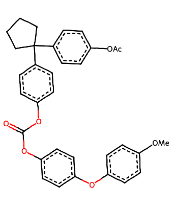 COc1ccc(Oc2ccc(OC(=O)Oc3ccc(C4(c5ccc(OC(C)=O)cc5)CCCC4)cc3)cc2)cc1